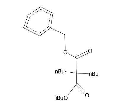 CCCCC(CCCC)(C(=O)OCc1ccccc1)C(=O)OCC(C)C